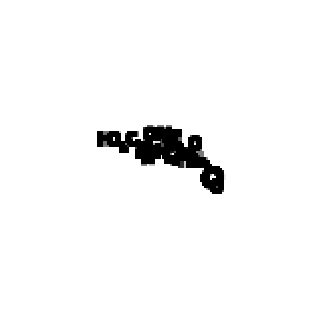 COc1c(C(=O)O)cnn1-c1ccc(C(=O)NCC2CCOCC2)cn1